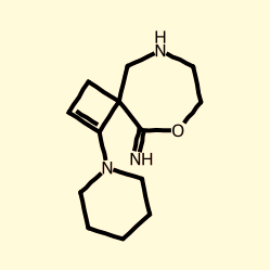 N=C1OCCNCC12CC=C2N1CCCCC1